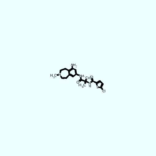 CN1CCc2cc(NC(=O)C(C)(C)NC(=O)c3ccc(Cl)s3)cc(N)c2CC1